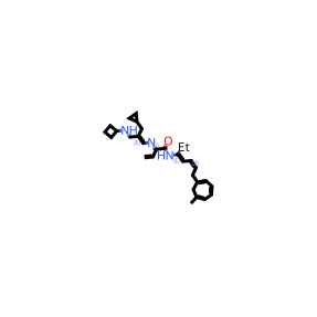 C=C/C(=N\C=C(\CNC1CCC1)CC1CC1)C(=O)N/C(=C/C=C\CC1=CC=CC=C(C)C1)CC